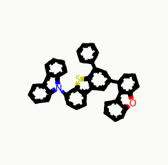 c1ccc(-c2cc(-c3cccc4oc5ccccc5c34)cc3c2sc2c(-n4c5ccccc5c5ccccc54)cccc23)cc1